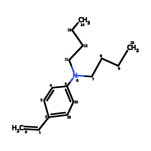 C=Cc1ccc(N(CCCC)CCCC)cc1